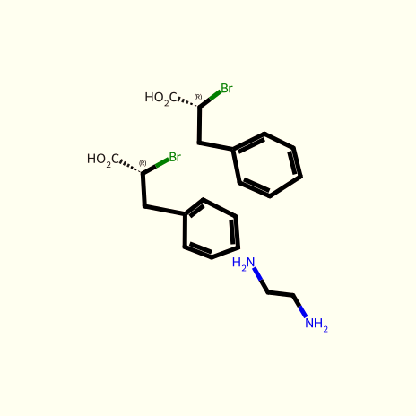 NCCN.O=C(O)[C@H](Br)Cc1ccccc1.O=C(O)[C@H](Br)Cc1ccccc1